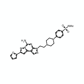 CNS(=O)(=O)c1ccc(N2CCN(CCn3ncc4c3nc(N)n3nc(-c5ccco5)cc43)CC2)cc1